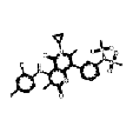 Cc1c(Nc2ccc(I)cc2F)c2c(=O)n(C3CC3)c(C)c(-c3cccc(N(S(C)(=O)=O)S(C)(=O)=O)c3)c2oc1=O